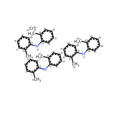 Cc1ccccc1[N-]c1ccccc1C.Cc1ccccc1[N-]c1ccccc1C.Cc1ccccc1[N-]c1ccccc1C.[Cr+3]